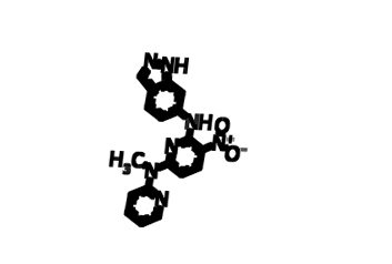 CN(c1ccccn1)c1ccc([N+](=O)[O-])c(Nc2ccc3cn[nH]c3c2)n1